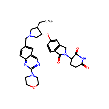 COC[C@@H]1CN(Cc2ccc3nc(N4CCOCC4)ncc3c2)C[C@H]1Oc1ccc2c(c1)CN(C1CCC(=O)NC1=O)C2=O